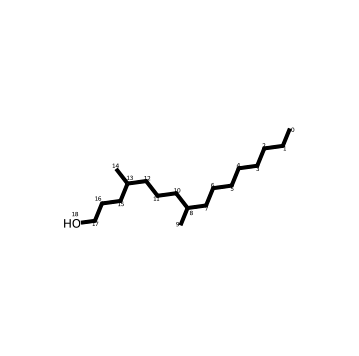 CCCCCCCCC(C)CCCC(C)CCCO